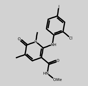 CONC(=O)c1cc(C)c(=O)n(C)c1Nc1ccc(I)cc1Cl